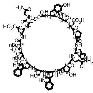 CCCC[C@H]1C(=O)N(C)[C@@H](CCCC)C(=O)N[C@@H](CCC(=O)O)C(=O)N[C@H](C(=O)NCC(N)=O)CSCC(=O)N[C@@H](Cc2ccc(O)cc2)C(=O)N(C)[C@@H](C)C(=O)N[C@@H](CC(=O)O)C(=O)N2CCC[C@H]2C(=O)N[C@@H](Cc2c[nH]cn2)C(=O)N[C@@H](CCC(N)=O)C(=O)N2C[C@H](O)C[C@H]2C(=O)N[C@@H](Cc2c[nH]c3ccccc23)C(=O)N[C@@H](CO)C(=O)N[C@@H](Cc2c[nH]c3ccccc23)C(=O)N1C